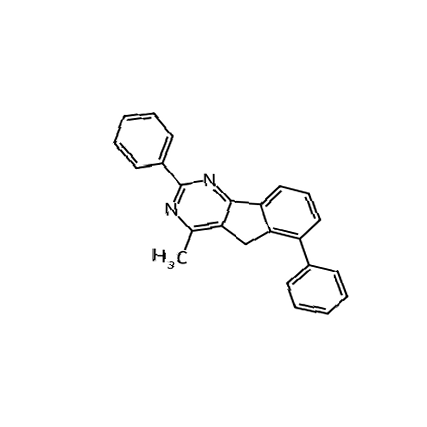 Cc1nc(-c2ccccc2)nc2c1Cc1c(-c3ccccc3)cccc1-2